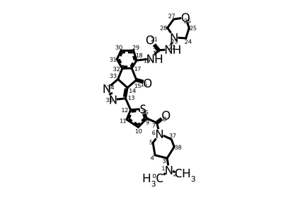 CN(C)C1CCN(C(=O)c2ccc(C3=C4C(=O)c5c(NC(=O)NN6CCOCC6)cccc5C4N=N3)s2)CC1